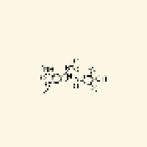 CCOC(=O)N=C1c2cc(C(=O)NC)c(OCC)cc2CN1CC(=O)c1cc(C(C)(C)C)c(O)c(C(C)(C)C)c1